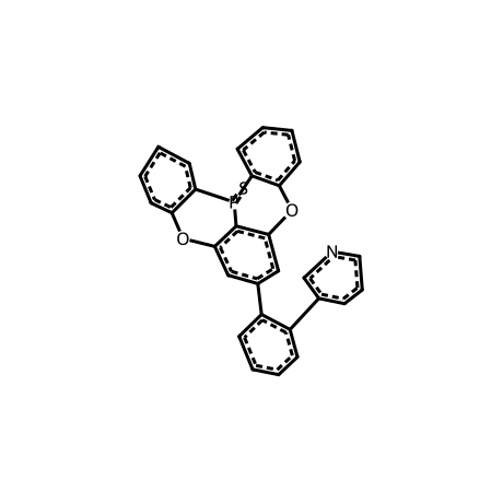 S=P12c3ccccc3Oc3cc(-c4ccccc4-c4cccnc4)cc(c31)Oc1ccccc12